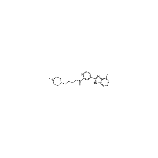 Cc1cccc2[nH]c(-c3ccnc(NCCCCC4CCN(C)CC4)c3)nc12